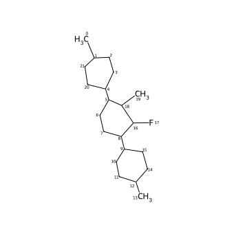 CC1CCC(C2CCC(C3CCC(C)CC3)C(F)C2C)CC1